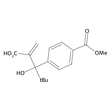 C=C(C(=O)O)C(O)(c1ccc(C(=O)OC)cc1)C(C)(C)C